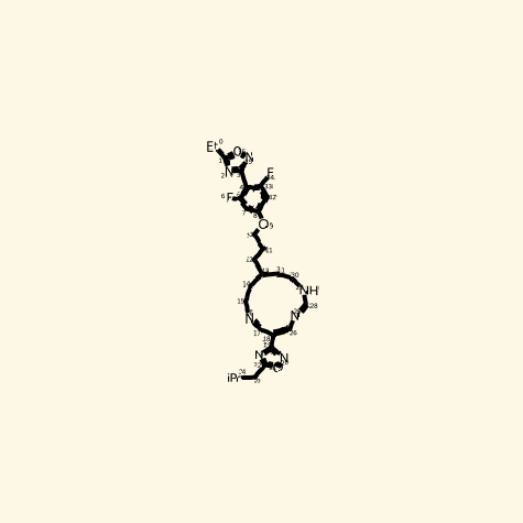 CCc1nc(-c2c(F)cc(OCCCC3CC\N=C/C(c4noc(CC(C)C)n4)=C\N=C\NCC3)cc2F)no1